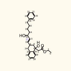 CCOC(=O)CC1(O)CC(/C=C/C(O)CCCCc2ccccc2)Cc2ccccc21